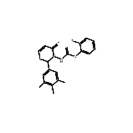 O=C(Nc1ccccc1F)NN1C(=O)C=CSC1c1cc(F)c(F)c(F)c1